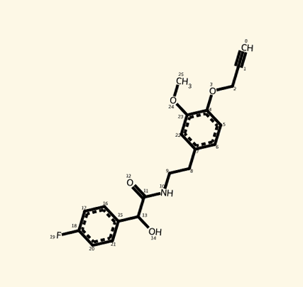 C#CCOc1ccc(CCNC(=O)C(O)c2ccc(F)cc2)cc1OC